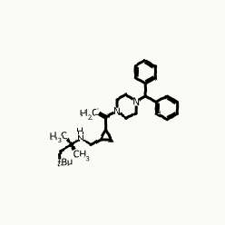 C=C(C1CC1CNC(C)(C)CC(C)(C)C)N1CCN(C(c2ccccc2)c2ccccc2)CC1